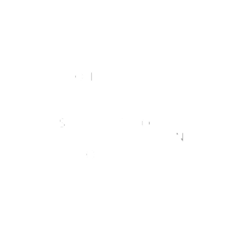 O=C(c1ccc(OCCN2CCCC2)cc1)c1c(-c2ccccc2)sc2cc(O)ccc12